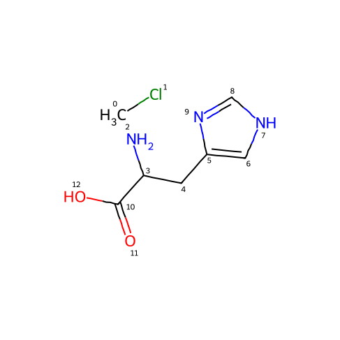 CCl.NC(Cc1c[nH]cn1)C(=O)O